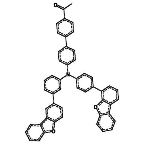 CC(=O)c1ccc(-c2ccc(N(c3ccc(-c4cccc5c4oc4ccccc45)cc3)c3cccc(-c4ccc5oc6ccccc6c5c4)c3)cc2)cc1